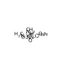 CCCOc1ccc(CNC(=O)N(Cc2ccn(C)c2)[C@H]2CCN(C)C[C@H]2F)cc1